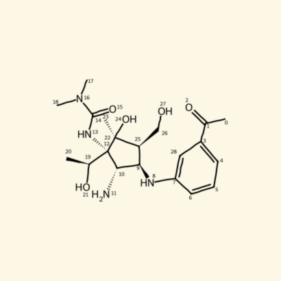 CC(=O)c1cccc(N[C@H]2[C@H](N)[C@@](NC(=O)N(C)C)([C@H](C)O)[C@@](C)(O)[C@H]2CO)c1